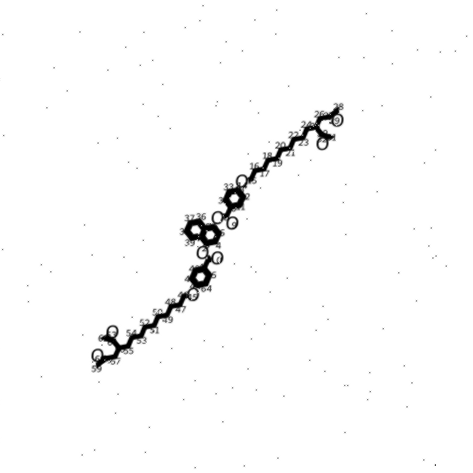 O=C(Oc1ccc(OC(=O)c2ccc(OCCCCCCCCCCC(CC3CO3)C3CO3)cc2)c2ccccc12)c1ccc(OCCCCCCCCCCC(CC2CO2)C2CO2)cc1